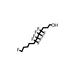 OCCCC(F)(F)C(F)(F)C(F)(F)C(F)(F)CCCCCF